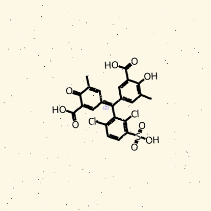 CC1=C/C(=C(\c2cc(C)c(O)c(C(=O)O)c2)c2c(Cl)ccc(S(=O)(=O)O)c2Cl)C=C(C(=O)O)C1=O